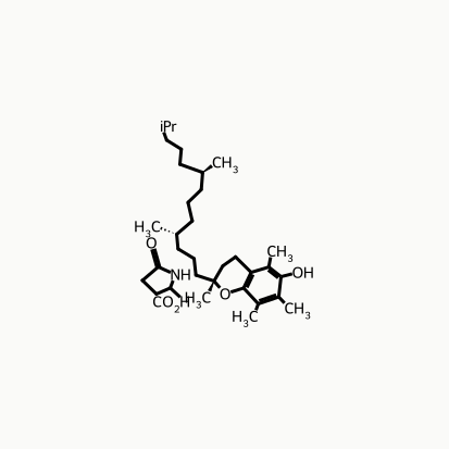 Cc1c(C)c2c(c(C)c1O)CC[C@@](C)(CCC[C@H](C)CCC[C@H](C)CCCC(C)C)O2.O=C1CCC(C(=O)O)N1